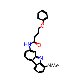 CNc1cccc2c3cccc(NC(=O)CCCOc4ccccc4)cc-3nc12